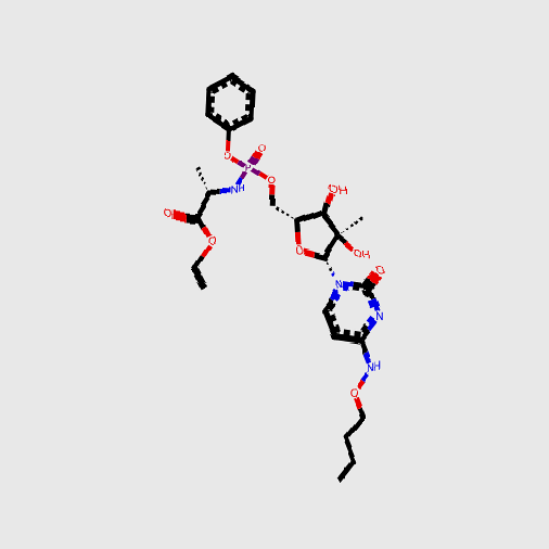 CCCCONc1ccn([C@@H]2O[C@H](COP(=O)(N[C@@H](C)C(=O)OCC)Oc3ccccc3)C(O)[C@@]2(C)O)c(=O)n1